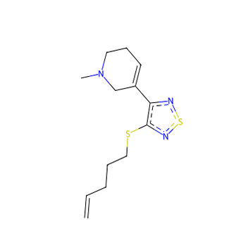 C=CCCCSc1nsnc1C1=CCCN(C)C1